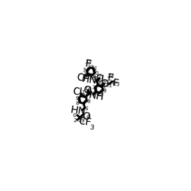 CC(C)(C(=O)NCc1ccc(Cl)c(C(=O)Nc2ccc(OCC(F)F)c(C(=O)Nc3ccc(F)cc3Cl)c2)c1)C(F)(F)F